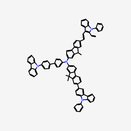 C=Cc1c(/C=C/c2ccc3c(c2)C(C)c2cc(N(c4ccc(-c5ccc(-n6c7ccccc7c7ccccc76)cc5)cc4)c4ccc5c(c4)C(C)(C)c4cc(-c6ccc7c(c6)c6ccccc6n7-c6ccccc6)ccc4-5)ccc2-3)c2ccccc2n1-c1ccccc1